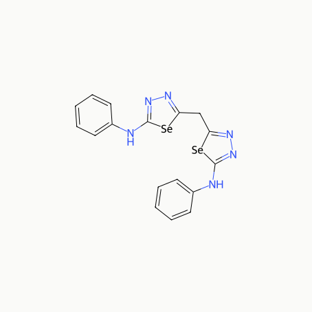 c1ccc(Nc2nnc(Cc3nnc(Nc4ccccc4)[se]3)[se]2)cc1